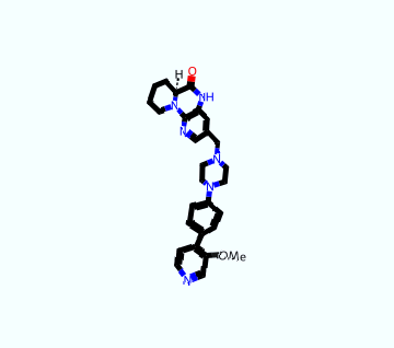 COc1cnccc1-c1ccc(N2CCN(Cc3cnc4c(c3)NC(=O)[C@@H]3CCCCN43)CC2)cc1